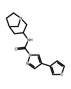 O=C(NC1CC2CCN(C2)C1)n1cc(-c2ccsc2)cn1